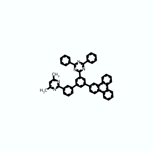 Cc1cc(C)nc(-c2cccc(-c3cc(-c4ccc5c6ccccc6c6ccccc6c5c4)cc(-c4nc(-c5ccccc5)nc(-c5ccccc5)n4)c3)c2)n1